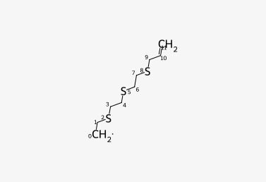 [CH2]CSCCSCCSCC=C